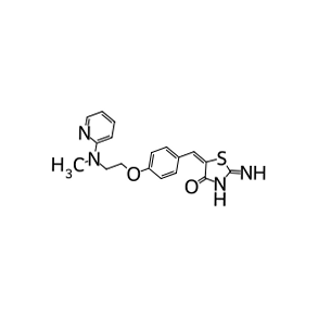 CN(CCOc1ccc(C=C2SC(=N)NC2=O)cc1)c1ccccn1